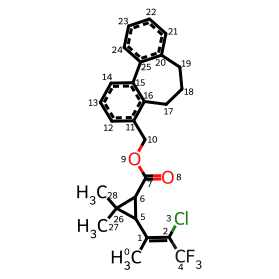 CC(=C(Cl)C(F)(F)F)C1C(C(=O)OCc2cccc3c2CCCc2ccccc2-3)C1(C)C